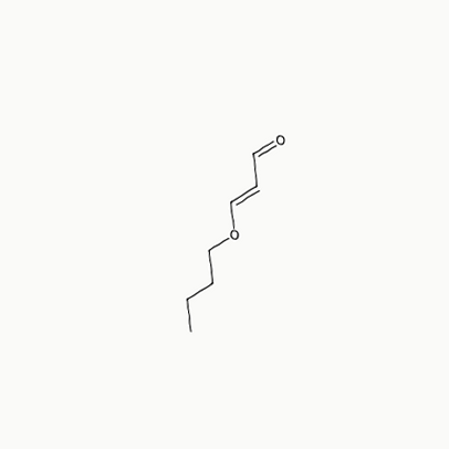 CCCCOC=CC=O